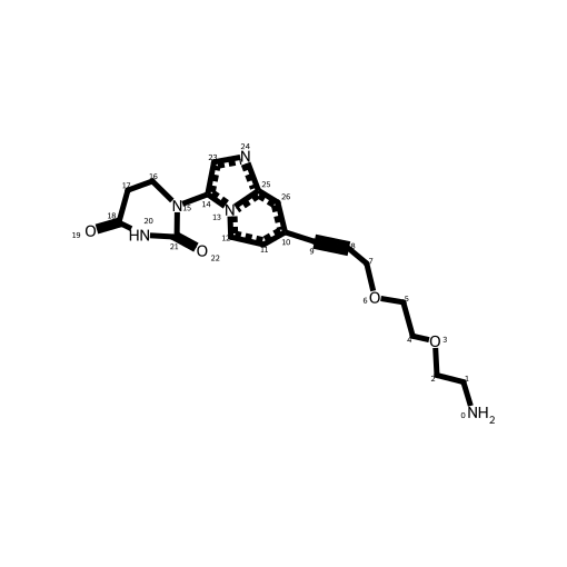 NCCOCCOCC#Cc1ccn2c(N3CCC(=O)NC3=O)cnc2c1